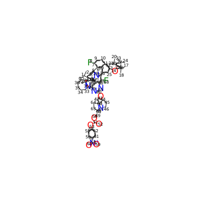 CC(C)[Si](C#Cc1c(F)ccc2cc(O[Si](C(C)C)(C(C)C)C(C)C)cc(-c3ncc4c(N5CCCCCC5)nc(OC[C@@]56CCCN5[C@H](COC(=O)Oc5ccc([N+](=O)[O-])cc5)CC6)nc4c3F)c12)(C(C)C)C(C)C